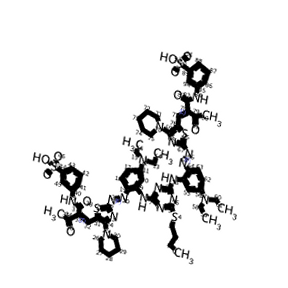 CCCCSc1nc(Nc2cc(N(CC)CC)ccc2/N=N/c2nc(N3CCCCC3)c(/C=C(/C(C)=O)C(=O)Nc3cccc(S(=O)(=O)O)c3)s2)nc(Nc2cc(N(CC)CC)ccc2/N=N/c2nc(N3CCCCC3)c(/C=C(\C(C)=O)C(=O)Nc3cccc(S(=O)(=O)O)c3)s2)n1